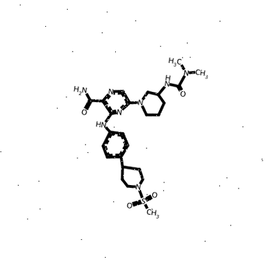 CN(C)C(=O)NC1CCCN(c2cnc(C(N)=O)c(Nc3ccc(C4CCN(S(C)(=O)=O)CC4)cc3)n2)C1